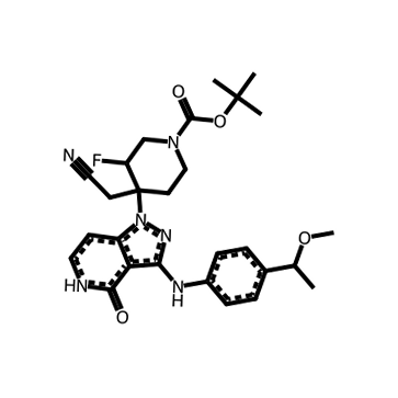 COC(C)c1ccc(Nc2nn(C3(CC#N)CCN(C(=O)OC(C)(C)C)CC3F)c3cc[nH]c(=O)c23)cc1